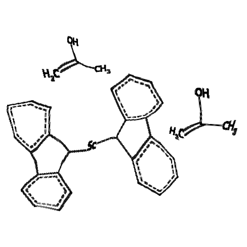 C=C(C)O.C=C(C)O.c1ccc2c(c1)-c1ccccc1[CH]2[Sc][CH]1c2ccccc2-c2ccccc21